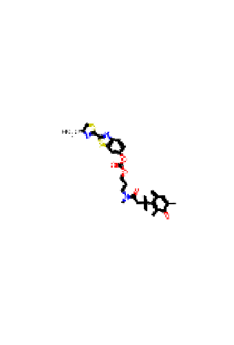 C=C1C=C(C)C(=O)C(C)=C1C(C)(C)CC(=O)N(C)CCCOC(=O)Oc1ccc2nc(C3=N[C@@H](C(=O)O)CS3)sc2c1